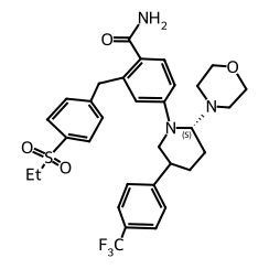 CCS(=O)(=O)c1ccc(Cc2cc(N3CC(c4ccc(C(F)(F)F)cc4)CC[C@H]3N3CCOCC3)ccc2C(N)=O)cc1